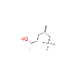 C[C@H](CC[C@H](C)O)CC(C)(C)C